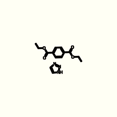 CCOC(=O)c1ccc(C(=O)OCC)cc1.c1c[nH]nn1